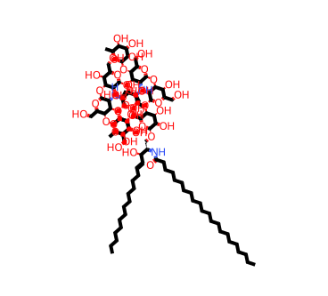 CCCCCCCCCCCCC/C=C/[C@@H](O)[C@H](CO[C@@H]1OC(CO)[C@@H](O[C@@H]2OC(CO)[C@H](O)[C@H](O[C@@H]3OC(CO)[C@@H](O[C@H]4OC(C)[C@@H](O)C(O)[C@@H]4O)[C@H](O[C@@H]4OC(CO)[C@H](O)[C@H](O[C@@H]5OC(CO)[C@@H](O[C@@H]6OC(CO)[C@H](O)[C@H](O)C6O[C@H]6OC(C)[C@@H](O)C(O)[C@@H]6O)[C@H](O[C@H]6OC(C)[C@@H](O)C(O)[C@@H]6O)C5NC(C)=O)C4O)C3NC(C)=O)C2O)[C@H](O)C1O)NC(=O)CCCCCCCCCCCCCCCCCCCCC